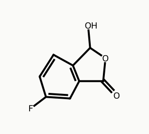 O=C1OC(O)c2ccc(F)cc21